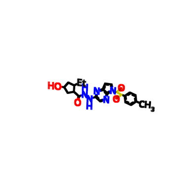 CCC1CC(O)CC1C(=O)NNc1cnc2c(ccn2S(=O)(=O)c2ccc(C)cc2)n1